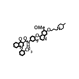 COc1cc2c(Oc3ccc(NC(=O)c4cn(-c5ccccc5C(F)(F)F)c5ccccc5c4=O)cc3F)ccnc2cc1OCCCN1CCC(C)CC1